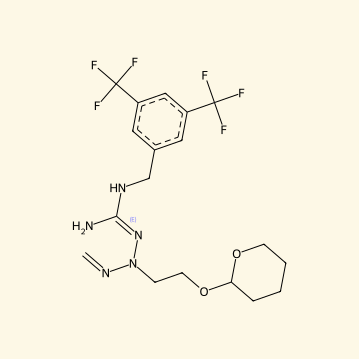 C=NN(CCOC1CCCCO1)/N=C(\N)NCc1cc(C(F)(F)F)cc(C(F)(F)F)c1